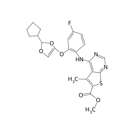 COC(=O)c1sc2ncnc(Nc3ccc(F)cc3OC3=COC(C4CCCC4)O3)c2c1C